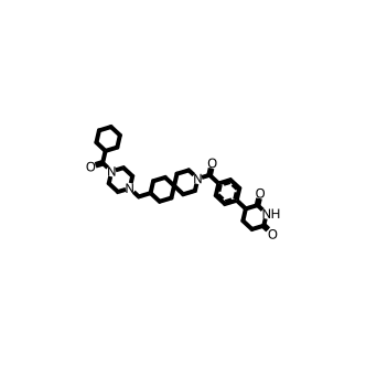 O=C1CCC(c2ccc(C(=O)N3CCC4(CCC(CN5CCN(C(=O)C6CCCCC6)CC5)CC4)CC3)cc2)C(=O)N1